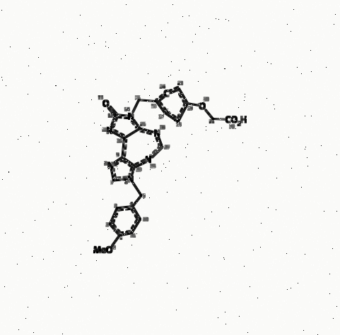 COc1ccc(Cn2cnc3c4nc(=O)n(Cc5ccc(OCC(=O)O)cc5)c-4ncnc32)cc1